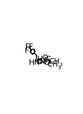 CC(C)(C)OC(=O)N1CCN[C@H](CCc2ccc(C(F)(F)F)cc2)C1